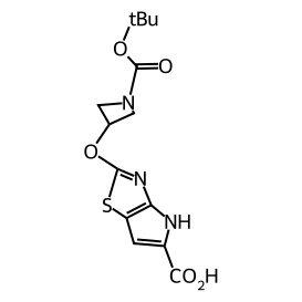 CC(C)(C)OC(=O)N1CC(Oc2nc3[nH]c(C(=O)O)cc3s2)C1